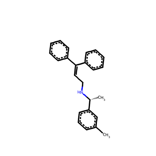 Cc1cccc([C@@H](C)NCC=C(c2ccccc2)c2ccccc2)c1